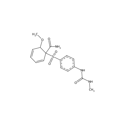 CNC(=O)Nc1ccc(S(=O)(=O)C2(C(N)=O)C=CC=CC2OC)cc1